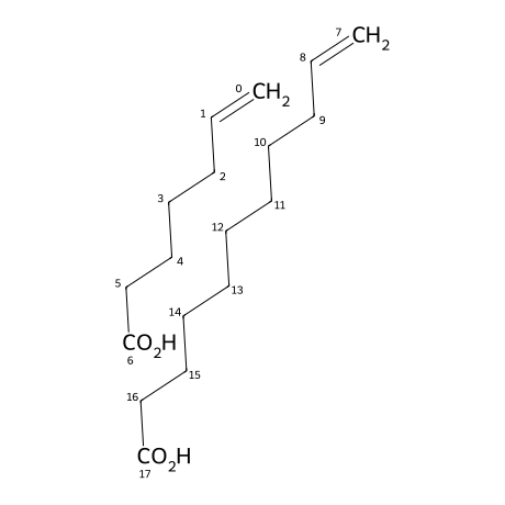 C=CCCCCC(=O)O.C=CCCCCCCCCC(=O)O